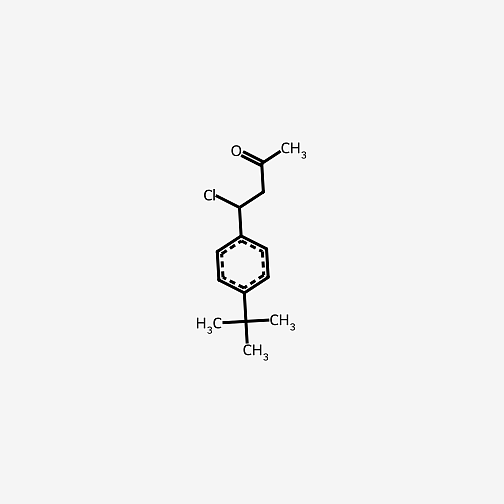 CC(=O)CC(Cl)c1ccc(C(C)(C)C)cc1